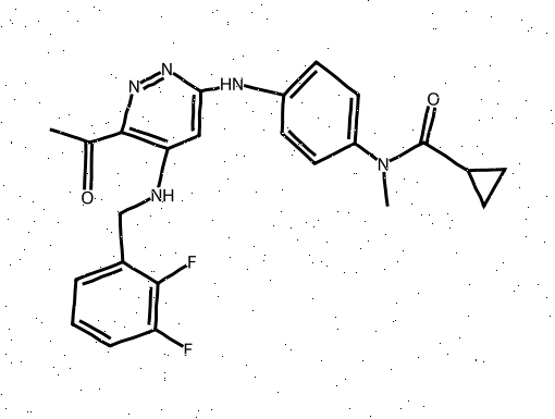 CC(=O)c1nnc(Nc2ccc(N(C)C(=O)C3CC3)cc2)cc1NCc1cccc(F)c1F